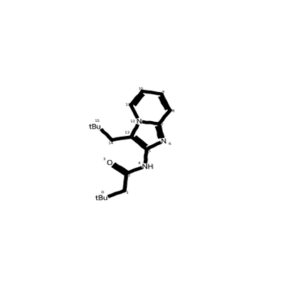 CC(C)(C)CC(=O)Nc1nc2ccccn2c1CC(C)(C)C